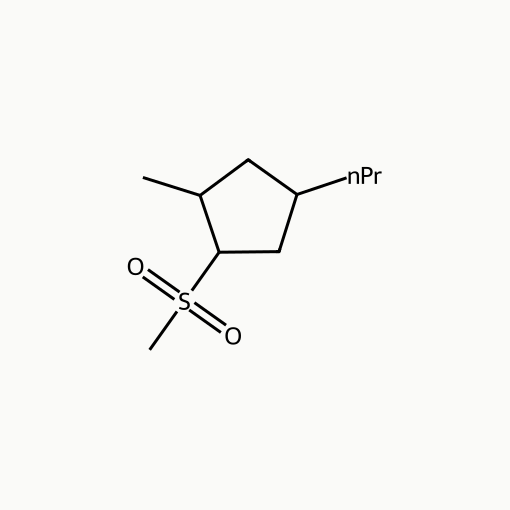 CCCC1CC(C)C(S(C)(=O)=O)C1